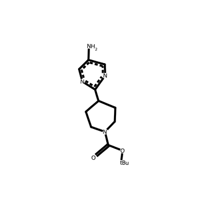 CC(C)(C)OC(=O)N1CCC(c2ncc(N)cn2)CC1